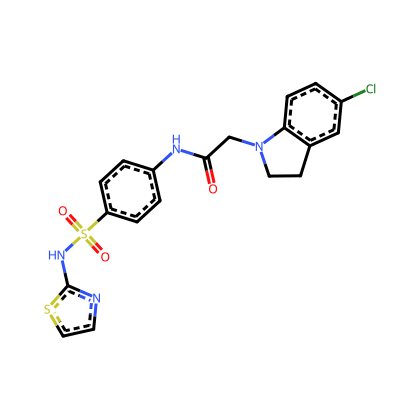 O=C(CN1CCc2cc(Cl)ccc21)Nc1ccc(S(=O)(=O)Nc2nccs2)cc1